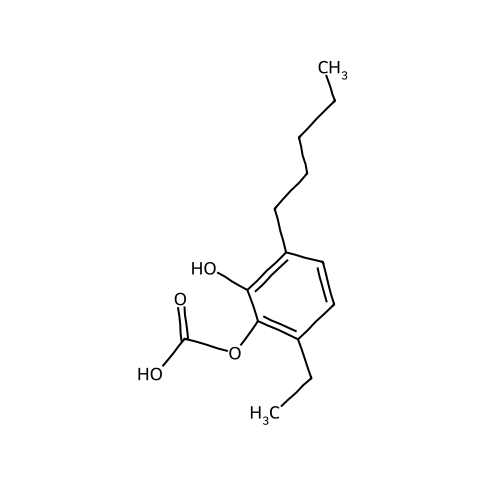 CCCCCc1ccc(CC)c(OC(=O)O)c1O